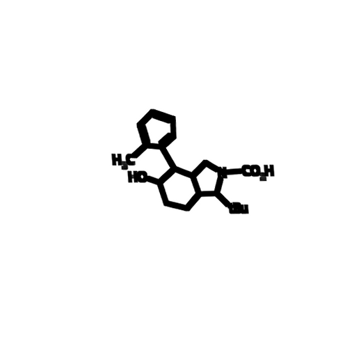 Cc1ccccc1C1C(O)CCC2C1CN(C(=O)O)C2C(C)(C)C